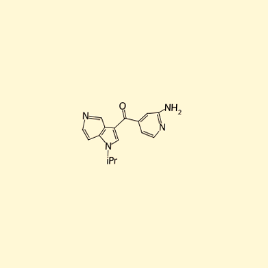 CC(C)n1cc(C(=O)c2ccnc(N)c2)c2cnccc21